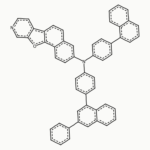 c1ccc(-c2cc(-c3ccc(N(c4ccc(-c5cccc6ccccc56)cc4)c4ccc5c(ccc6c7ccncc7oc56)c4)cc3)c3ccccc3c2)cc1